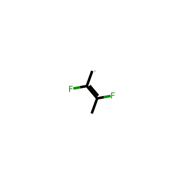 [CH2]/C(F)=C(/C)F